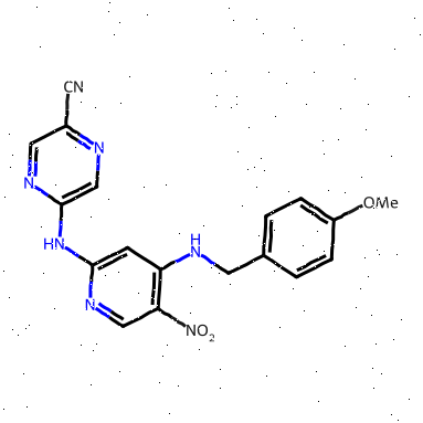 COc1ccc(CNc2cc(Nc3cnc(C#N)cn3)ncc2[N+](=O)[O-])cc1